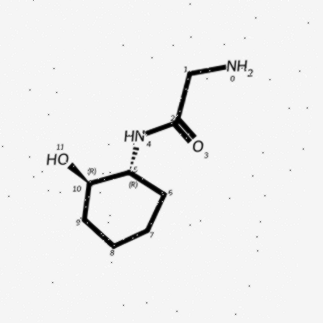 NCC(=O)N[C@@H]1CCCC[C@H]1O